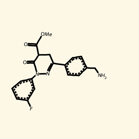 COC(=O)C1CC(c2ccc(CN)cc2)=NN(c2cccc(F)c2)C1=O